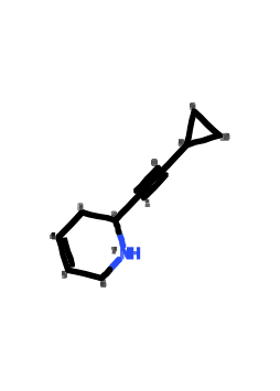 C(#CC1CC=CCN1)C1CC1